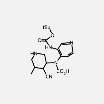 CC1CNCC(N(C(=O)O)c2ccncc2NC(=O)OC(C)(C)C)C1C#N